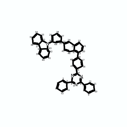 c1ccc(-c2nc(-c3ccccc3)nc(-c3ccc(-c4cccc5cc(-c6cccc(-n7c8ccccc8c8ccccc87)c6)ccc45)cc3)n2)cc1